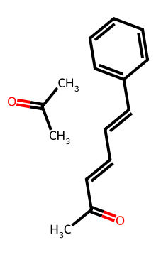 CC(=O)C=CC=Cc1ccccc1.CC(C)=O